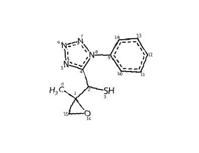 CC1(C(S)c2nnnn2-c2ccccc2)CO1